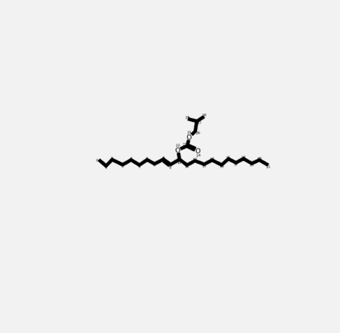 CCCCCCCC/C=C/C(CCCCCCCCCCC)OC(=O)OCC(C)C